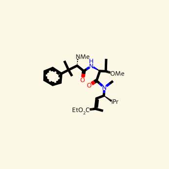 CCOC(=O)/C(C)=C/[C@H](C(C)C)N(C)C(=O)[C@@H](NC(=O)[C@@H](NC)C(C)(C)c1ccccc1)C(C)OC